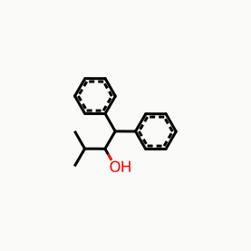 CC(C)C(O)C(c1ccccc1)c1ccccc1